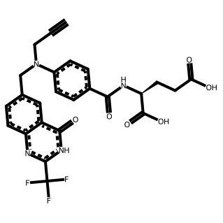 C#CCN(Cc1ccc2nc(C(F)(F)F)[nH]c(=O)c2c1)c1ccc(C(=O)N[C@@H](CCC(=O)O)C(=O)O)cc1